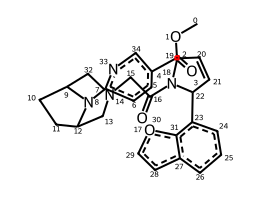 COC(=O)c1ccc(N2C3CCC2CN(CC(=O)N2CC=CC2c2cccc4ccoc24)C3)nc1